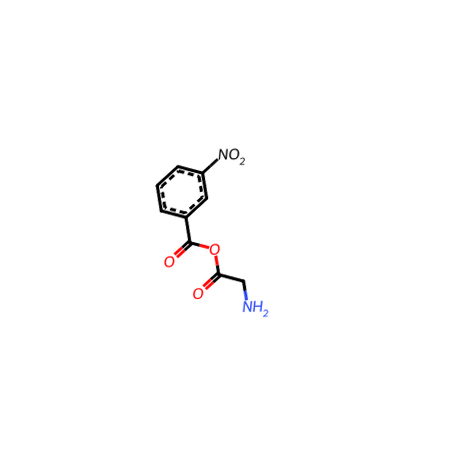 NCC(=O)OC(=O)c1cccc([N+](=O)[O-])c1